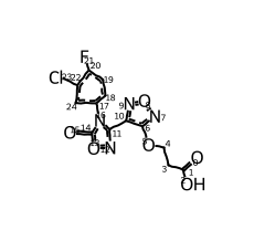 O=C(O)CCOc1nonc1-c1noc(=O)n1-c1ccc(F)c(Cl)c1